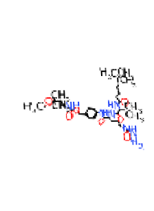 CCOC(C)(C)CCNC(=O)OCc1ccc(NC(=O)[C@H](CCCNC(N)=O)NC(=O)C(NC(=O)CCCCCC(C)(C)C)C(C)C)cc1